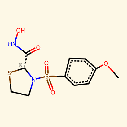 COc1ccc(S(=O)(=O)N2CCS[C@@H]2C(=O)NO)cc1